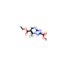 CCOC(=O)c1cnc2nc(C(=O)OC)nn2c1Cl